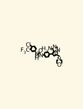 Nc1ncnn2c(CN3CCOCC3)cc(-c3ccc(NC(=O)Nc4ccc(Cl)c(C(F)(F)F)c4)cc3)c12